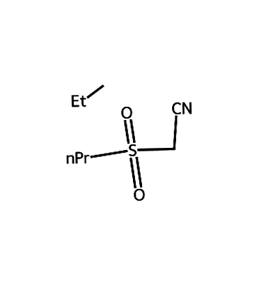 CCC.CCCS(=O)(=O)CC#N